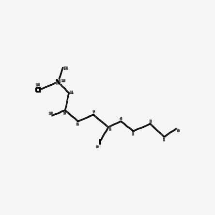 CCCCCC(I)CCC(C)CN(C)Cl